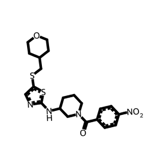 O=C(c1ccc([N+](=O)[O-])cc1)N1CCCC(Nc2ncc(SCC3CCOCC3)s2)C1